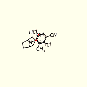 Cc1c(N2C3CCC2CC(C)(O)C3)ccc(C#N)c1Cl.Cl